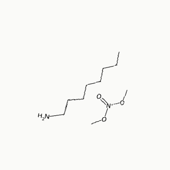 CCCCCCCCN.CO[N+](=O)OC